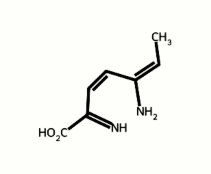 C/C=C(N)\C=C/C(=N)C(=O)O